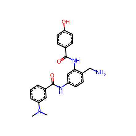 CN(C)c1cccc(C(=O)Nc2ccc(CN)c(NC(=O)c3ccc(O)cc3)c2)c1